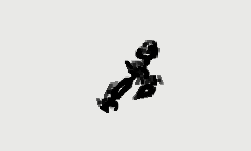 O=C(NC1CC1)c1ccc(-c2cnn3c(NCC4CCOCC4)cc(NC4CCCC4)nc23)cc1F